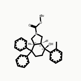 Cc1ccccc1[C@]1(O)CCC(c2ccccc2)(c2ccccc2)[C@H]2CN(C(=O)OC(C)(C)C)C[C@H]21